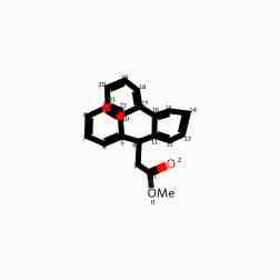 COC(=O)CC(c1ccccc1)c1ccccc1-c1ccccc1